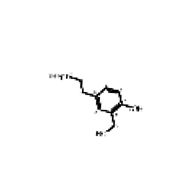 CCCCCCCCCc1ccc(O)c(CO)c1